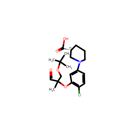 CC(C)(C)OCC(C)(C=O)Oc1cc(N2CCC[C@@H](C(=O)O)C2)ccc1Cl